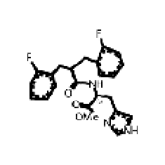 COC(=O)[C@H](Cc1c[nH]cn1)NC(=O)C(Cc1ccccc1F)Cc1ccccc1F